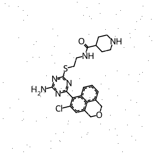 Nc1nc(SCCNC(=O)C2CCNCC2)nc(-c2c(Cl)cc3c4c(cccc24)COC3)n1